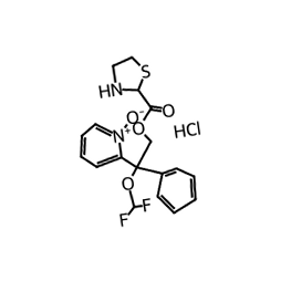 Cl.O=C(OCC(OC(F)F)(c1ccccc1)c1cccc[n+]1[O-])C1NCCS1